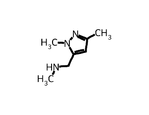 CNCc1cc(C)nn1C